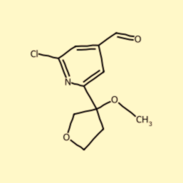 COC1(c2cc(C=O)cc(Cl)n2)CCOC1